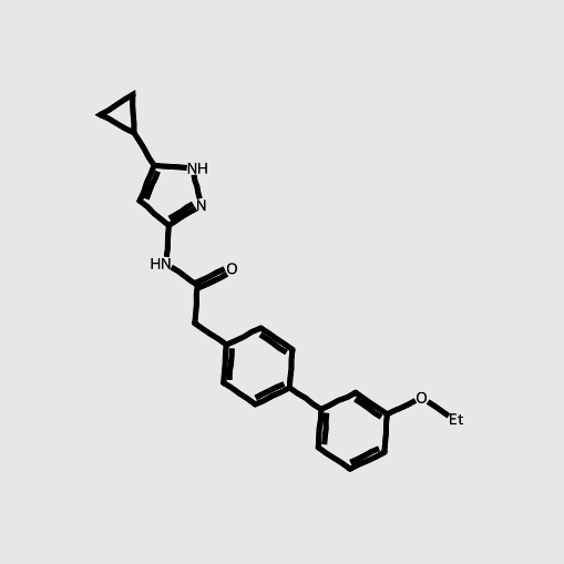 CCOc1cccc(-c2ccc(CC(=O)Nc3cc(C4CC4)[nH]n3)cc2)c1